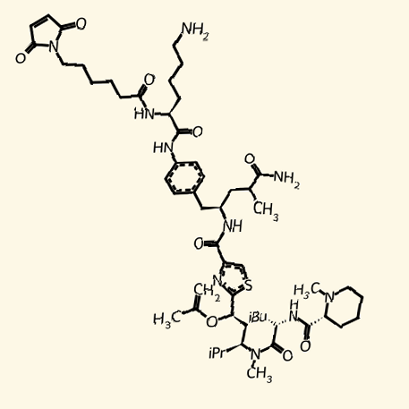 C=C(C)O[C@H](C[C@H](C(C)C)N(C)C(=O)[C@@H](NC(=O)[C@H]1CCCCN1C)[C@@H](C)CC)c1nc(C(=O)N[C@@H](Cc2ccc(NC(=O)[C@H](CCCCN)NC(=O)CCCCCN3C(=O)C=CC3=O)cc2)CC(C)C(N)=O)cs1